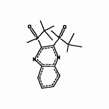 CC(C)(C)P(C)(=O)c1nc2ccccc2nc1P(C)(=O)C(C)(C)C